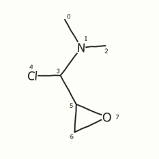 CN(C)C(Cl)C1CO1